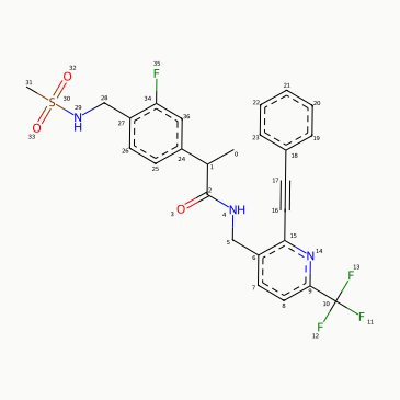 CC(C(=O)NCc1ccc(C(F)(F)F)nc1C#Cc1ccccc1)c1ccc(CNS(C)(=O)=O)c(F)c1